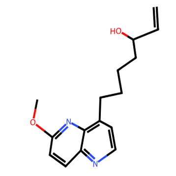 C=CC(O)CCCCc1ccnc2ccc(OC)nc12